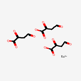 O=CCC(=O)C(=O)[O-].O=CCC(=O)C(=O)[O-].O=CCC(=O)C(=O)[O-].[Eu+3]